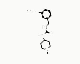 COc1cccc(CNC(=O)NC2CCN(C)CC2)c1